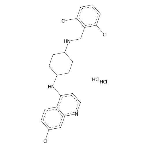 Cl.Cl.Clc1ccc2c(NC3CCC(NCc4c(Cl)cccc4Cl)CC3)ccnc2c1